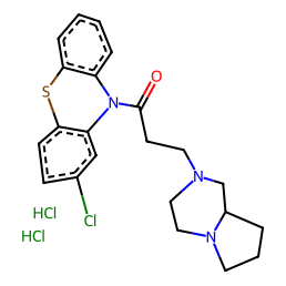 Cl.Cl.O=C(CCN1CCN2CCCC2C1)N1c2ccccc2Sc2ccc(Cl)cc21